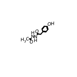 CC(=O)NNC(=O)Cc1ccc(O)cc1